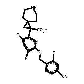 N#Cc1ccc(COc2nc(C3(C(=O)O)CC34CCNCC4)c(F)cc2F)c(F)c1